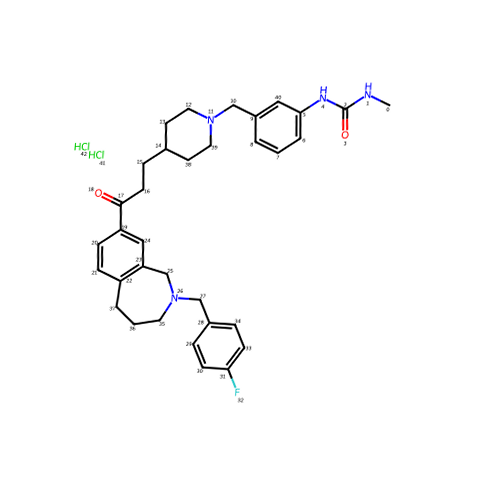 CNC(=O)Nc1cccc(CN2CCC(CCC(=O)c3ccc4c(c3)CN(Cc3ccc(F)cc3)CCC4)CC2)c1.Cl.Cl